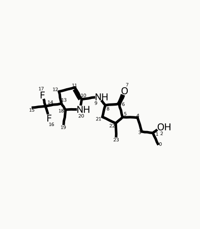 CC(O)CCC1C(=O)C(NC2=CCC(C(C)(F)F)C(C)N2)CC1C